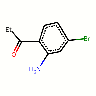 CCC(=O)c1ccc(Br)cc1N